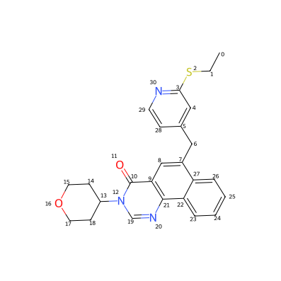 CCSc1cc(Cc2cc3c(=O)n(C4CCOCC4)cnc3c3ccccc23)ccn1